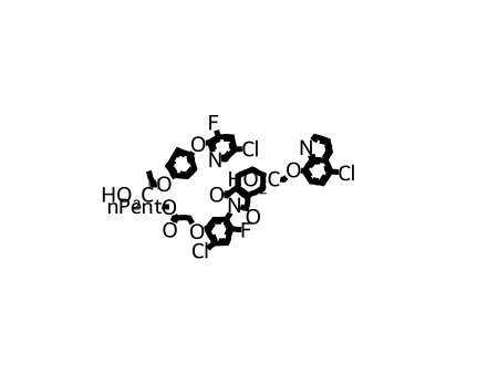 CCCCCOC(=O)COc1cc(N2C(=O)C3=C(CCCC3)C2=O)c(F)cc1Cl.C[C@@H](Oc1ccc(Oc2ncc(Cl)cc2F)cc1)C(=O)O.O=C(O)COc1ccc(Cl)c2cccnc12